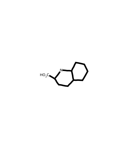 O=C(O)C1CCC2CCCCC2[N]1